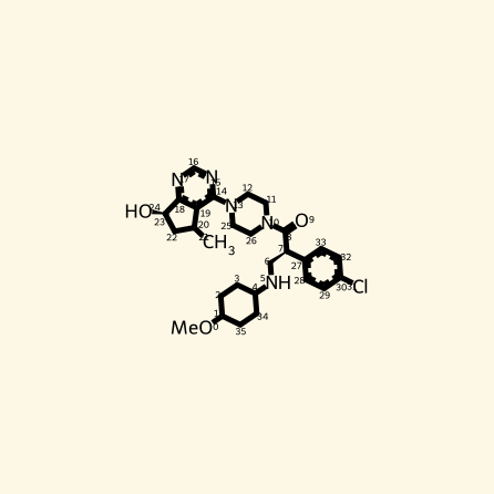 COC1CCC(NC[C@@H](C(=O)N2CCN(c3ncnc4c3C(C)C[C@H]4O)CC2)c2ccc(Cl)cc2)CC1